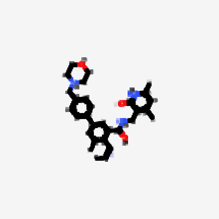 C/C=C\c1c(C)cc(-c2ccc(CN3CCOCC3)cc2)cc1C(=O)NCc1c(C)cc(C)[nH]c1=O